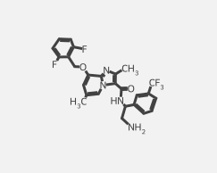 Cc1cc(OCc2c(F)cccc2F)c2nc(C)c(C(=O)NC(CN)c3cccc(C(F)(F)F)c3)n2c1